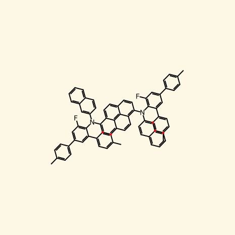 Cc1ccc(-c2cc(F)c(N(c3ccc4ccccc4c3)c3ccc4ccc5c(N(c6ccc7ccccc7c6)c6c(F)cc(-c7ccc(C)cc7)cc6-c6ccc(C)cc6)ccc6ccc3c4c65)c(-c3ccc(C)cc3)c2)cc1